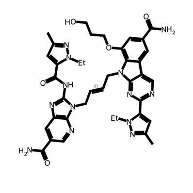 CCn1nc(C)cc1C(=O)Nc1nc2cc(C(N)=O)cnc2n1C/C=C/Cn1c2nc(-c3cc(C)nn3CC)ncc2c2cc(C(N)=O)cc(OCCCO)c21